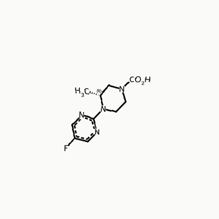 C[C@@H]1CN(C(=O)O)CCN1c1ncc(F)cn1